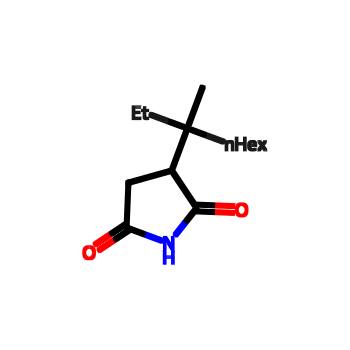 CCCCCCC(C)(CC)C1CC(=O)NC1=O